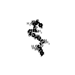 C[C@@H]1CN(CC(=O)N2CC(C)(C)c3[nH]c(=O)c(Cc4ccc(F)cc4)cc32)[C@@H](CN2CCOC(C(=O)NC3CCN(C(=O)C4CN(C[C@H]5CN[C@H](C)CN5CC(=O)N5CC(C)(C)c6[nH]c(=O)c(Cc7ccc(F)cc7)cc65)CCO4)CC3)C2)CN1